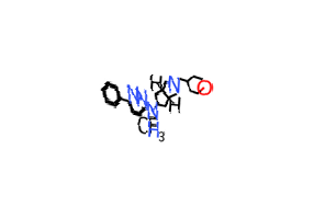 FC(F)(F)c1cc(-c2ccccc2)nnc1N[C@H]1C[C@@H]2CN(CC3CCOCC3)C[C@@H]2C1